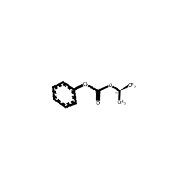 C[C@@H](OC(=O)Oc1ccccc1)C(F)(F)F